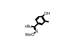 CCCCC(=NOC)c1ccc(O)c(C)c1